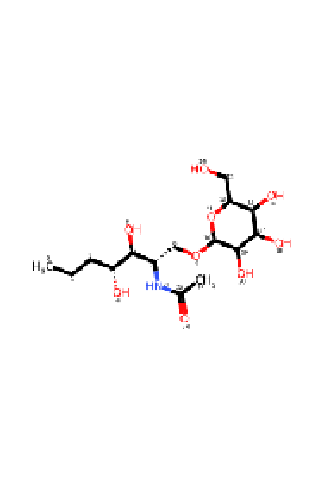 CCC[C@@H](O)[C@@H](O)[C@H](COC1OC(CO)C(O)C(O)C1O)NC(C)=O